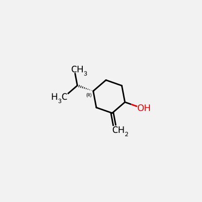 C=C1C[C@H](C(C)C)CCC1O